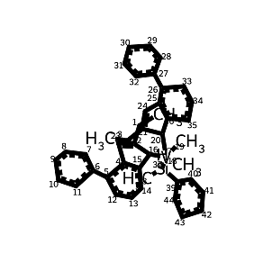 CCC1=Cc2c(-c3ccccc3)cccc2[CH]1[V]([CH3])([CH3])([CH]1C(CC)=Cc2c(-c3ccccc3)cccc21)[SiH](C)c1ccccc1